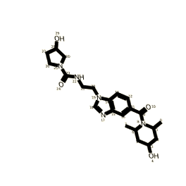 CC1CC(O)CC(C)N1C(=O)c1ccc2c(c1)ncn2CCNC(=O)N1CCC(O)C1